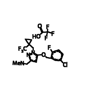 CNCc1cc(OCc2cc(Cl)ccc2F)n(CC2(C(F)(F)F)CC2)n1.O=C(O)C(F)(F)F